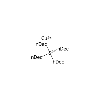 CCCCCCCCCC[S-2](CCCCCCCCCC)(CCCCCCCCCC)CCCCCCCCCC.[Cu+2]